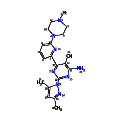 CCN1CCN(c2cccc(-c3nc(-n4nc(C)cc4C)nc(N)c3C#N)n2)CC1